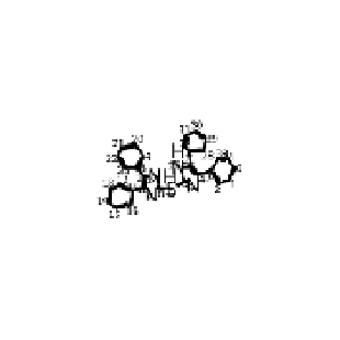 c1ccc(-c2nc(Sc3nc(-c4ccccc4)c(-c4ccccc4)[nH]3)[nH]c2-c2ccccc2)cc1